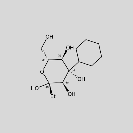 CC[C@@]1(O)O[C@H](CO)[C@@H](O)[C@@](O)(C2CCCCC2)[C@H]1O